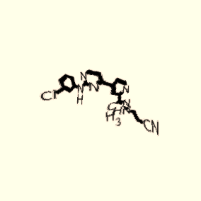 CC(=NNCCC#N)c1cc(-c2ccnc(Nc3cccc(Cl)c3)n2)ccn1